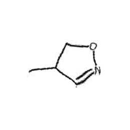 CC1[C]=NOC1